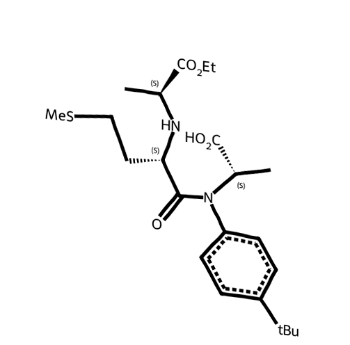 CCOC(=O)[C@H](C)N[C@@H](CCSC)C(=O)N(c1ccc(C(C)(C)C)cc1)[C@@H](C)C(=O)O